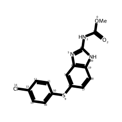 COC(=O)Nc1nc2cc(Sc3ccc(Cl)cc3)ccc2[nH]1